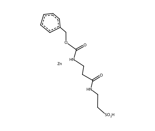 O=C(CCNC(=O)OCc1ccccc1)NCCS(=O)(=O)O.[Zn]